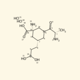 C[C@H](N)C(=O)N1C[C@H](CCB(O)O)C[C@@](N)(C(=O)O)C1.Cl.Cl